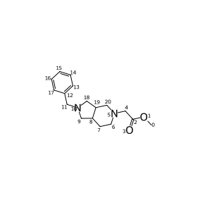 COC(=O)CN1CCC2CN(Cc3ccccc3)CC2C1